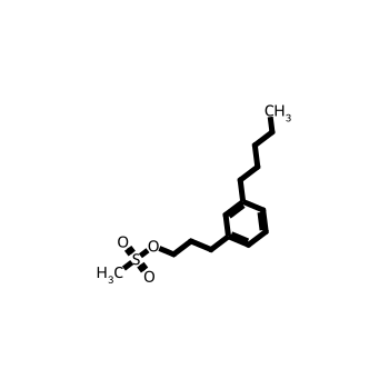 CCCCCc1cccc(CCCOS(C)(=O)=O)c1